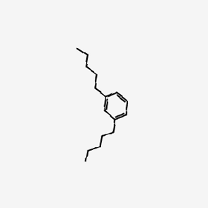 CCCCCc1cccc(CCCCC)c1